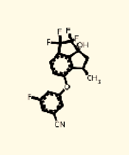 CC1C[C@]2(O)c3c(ccc(Oc4cc(F)cc(C#N)c4)c31)C(F)(F)C2(F)F